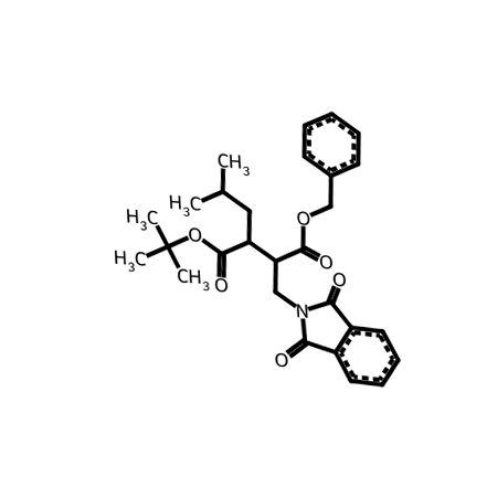 CC(C)CC(C(=O)OC(C)(C)C)C(CN1C(=O)c2ccccc2C1=O)C(=O)OCc1ccccc1